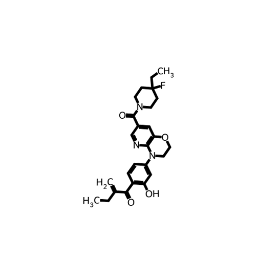 C=C(CC)C(=O)c1ccc(N2CCOc3cc(C(=O)N4CCC(F)(CC)CC4)cnc32)cc1O